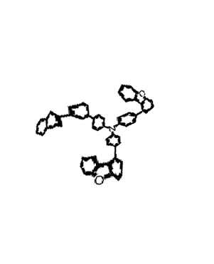 c1cc(-c2ccc(N(c3ccc(-c4cccc5oc6ccccc6c45)cc3)c3ccc(-c4cccc5oc6ccccc6c45)cc3)cc2)cc(-c2ccc3ccccc3c2)c1